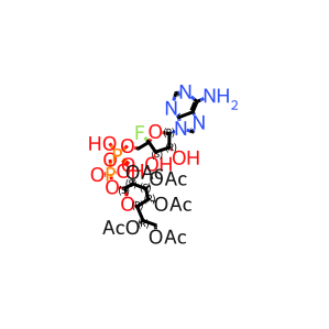 CC(=O)OC[C@@H](OC(C)=O)[C@H]1O[C@@H](OP(=O)(O)OP(=O)(O)OCC2(F)O[C@@H](n3cnc4c(N)ncnc43)[C@H](O)[C@@H]2O)[C@@H](OC(C)=O)[C@@H](OC(C)=O)[C@@H]1OC(C)=O